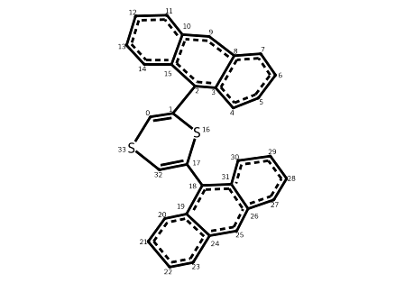 C1=C(c2c3ccccc3cc3ccccc23)SC(c2c3ccccc3cc3ccccc23)=CS1